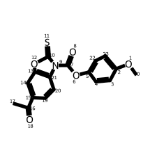 COc1ccc(OC(=O)n2c(=S)oc3cc(C(C)=O)ccc32)cc1